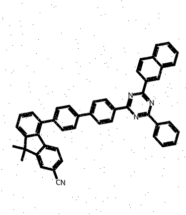 CC1(C)c2cc(C#N)ccc2-c2c(-c3ccc(-c4ccc(-c5nc(-c6ccccc6)nc(-c6ccc7ccccc7c6)n5)cc4)cc3)cccc21